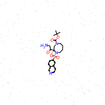 CC(C)(C)OC(=O)N1CCCCN(S(=O)(=O)c2ccc3cnccc3c2)[C@@](C)(C(=O)CN)C1